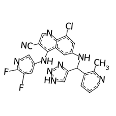 Cc1ncccc1C(Nc1cc(Cl)c2ncc(C#N)c(Nc3cnc(F)c(F)c3)c2c1)c1c[nH]nn1